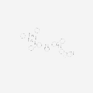 c1ccc(-c2nc(-c3ccccc3)nc(-n3c4ccccc4c4cc(-c5cccc(-c6ccc7c8ccccc8n(-c8ccc9sc%10ccncc%10c9c8)c7c6)n5)ccc43)n2)cc1